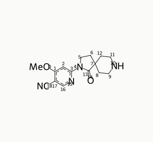 COc1cc(N2CCC3(CCNCC3)C2=O)ncc1C#N